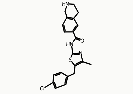 Cc1nc(NC(=O)c2ccc3c(c2)CCNC3)sc1Cc1ccc(Cl)cc1